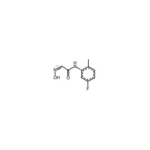 Cc1ccc(F)cc1NC(=O)/C=N\O